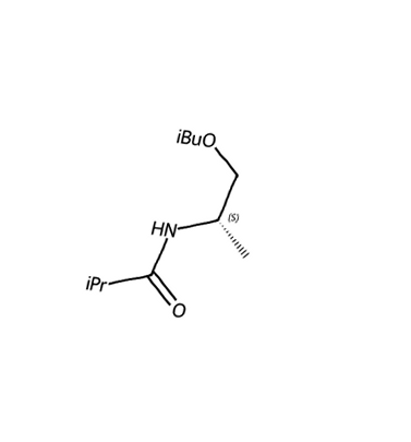 CC(C)COC[C@H](C)NC(=O)C(C)C